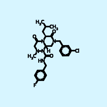 CC(C)C[C@H]1C(=O)N(Cc2cccc(Cl)c2)C[C@H]2N1C(=O)CN(C)N2C(=O)NCc1ccc(F)cc1